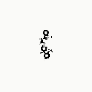 Cc1ccc(F)cc1C1(O)CCN(OC(=O)Nc2n[nH]c3ccccc23)CC1